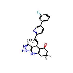 CCOC(=O)c1n[nH]c2c1C(/C=C/c1ccc(-c3cccc(F)c3)cn1)C1=C(CC(C)(C)CC1=O)N2